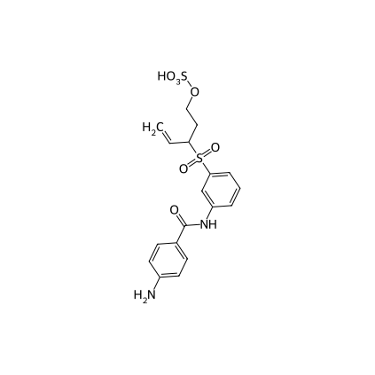 C=CC(CCOS(=O)(=O)O)S(=O)(=O)c1cccc(NC(=O)c2ccc(N)cc2)c1